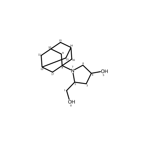 OCC1CC(O)CN1C12C[C]3CC(CC(C3)C1)C2